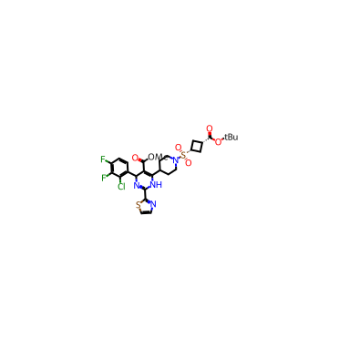 COC(=O)C1=C(C2CCN(S(=O)(=O)[C@H]3C[C@@H](C(=O)OC(C)(C)C)C3)CC2)NC(c2nccs2)=NC1c1ccc(F)c(F)c1Cl